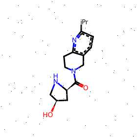 CC(C)c1ccc2c(n1)CCN(C(=O)[C@H]1C[C@@H](O)CN1)C2